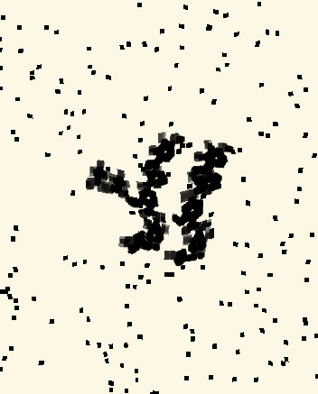 CCc1cc(Nc2nccn3c(-c4ccc(OC)c(F)c4F)cnc23)ccc1C(=O)NC1[C@H]2C[N+](C)(CC3CNC3)C[C@@H]12.CCc1cc(Nc2nccn3c(-c4ccc(OC)c(F)c4F)cnc23)ccc1C(=O)NC1[C@H]2C[N+](C)(CC3CNC3)C[C@@H]12.O=C([O-])C(F)(F)F.O=C([O-])C(F)(F)F